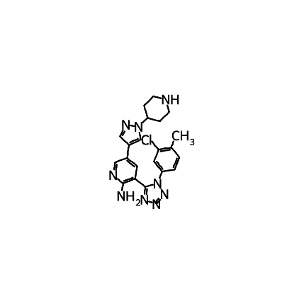 Cc1ccc(-n2nnnc2-c2cc(-c3cnn(C4CCNCC4)c3)cnc2N)cc1Cl